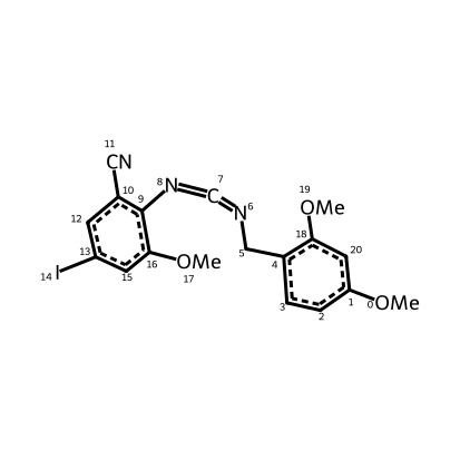 COc1ccc(CN=C=Nc2c(C#N)cc(I)cc2OC)c(OC)c1